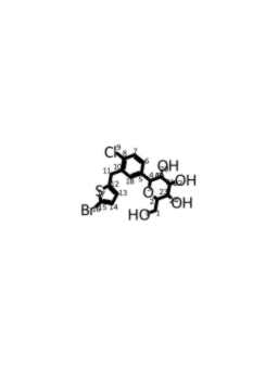 OCC1OC(c2ccc(Cl)c(Cc3ccc(Br)s3)c2)[C@H](O)C(O)C1O